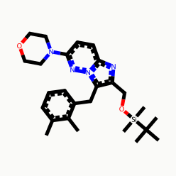 Cc1cccc(Cc2c(CO[Si](C)(C)C(C)(C)C)nc3ccc(N4CCOCC4)nn23)c1C